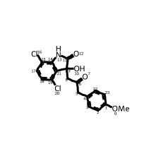 COc1ccc(CC(=O)CC2(O)C(=O)Nc3c(Cl)ccc(Cl)c32)cc1